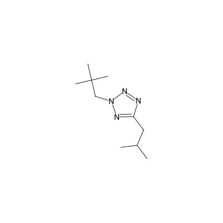 CC(C)Cc1nnn(CC(C)(C)C)n1